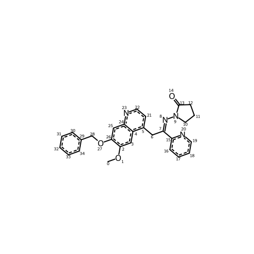 COc1cc2c(CC(=NN3CCCC3=O)c3ccccn3)ccnc2cc1OCc1ccccc1